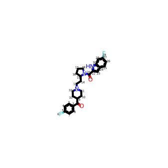 O=C(c1ccc(F)cc1)C1CCN(CCC2CCCN2C(=O)c2cc3ccc(F)cc3[nH]2)CC1